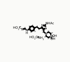 CC(=O)Nc1nc(CCc2ccc(NC=NC(=O)O)cc2)c(CN2CCS(O)(O)CC2)s1.NC(=O)O